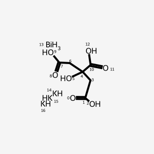 O=C(O)CC(O)(CC(=O)O)C(=O)O.[BiH3].[KH].[KH].[KH]